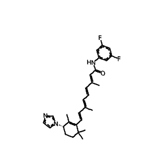 CC1=C(/C=C/C(C)=C/C=C/C(C)=C/C(=O)Nc2cc(F)cc(F)c2)C(C)(C)CC[C@@H]1n1ccnc1